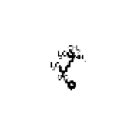 C=CCC(N)(CCC)CCCCCC(CCC)C(=O)OCc1ccccc1